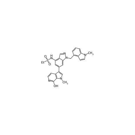 CCS(=O)(=O)Nc1cc(-c2cn(C)c3c(O)nccc23)cc2c1cnn2Cc1cccc2c1ccn2C